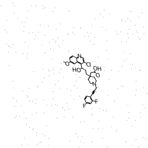 COc1ccc2ncc(Cl)c(C(O)CCC3(CC(=O)O)CCN(CC#Cc4ccc(F)cc4F)CC3)c2c1